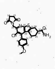 COc1ccc(-c2c(Cl)c(CN3C(=O)CCC3=O)nc3sc4c(c23)CCC(C(N)=O)C4)cc1